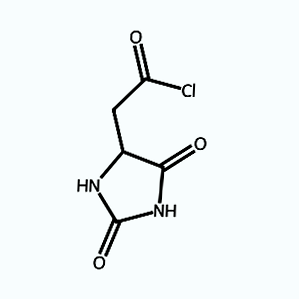 O=C(Cl)CC1NC(=O)NC1=O